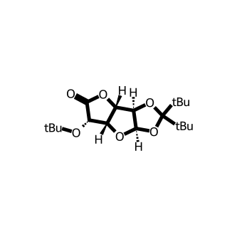 CC(C)(C)O[C@@H]1C(=O)O[C@@H]2[C@H]3OC(C(C)(C)C)(C(C)(C)C)O[C@H]3O[C@@H]21